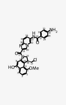 COc1cccc2c(O)cc3c(c12)[C@H](CCl)CN3C(=O)c1cn2cc(NC(=O)c3ccc(N)cc3)ccc2n1